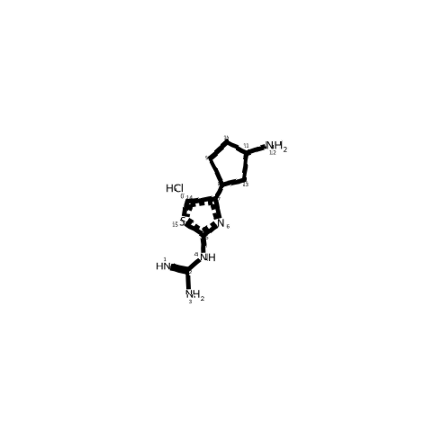 Cl.N=C(N)Nc1nc(C2CCC(N)C2)cs1